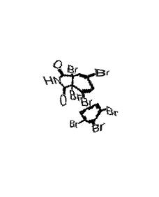 Brc1cccc(Br)c1Br.O=C1NC(=O)C2(Br)C(Br)=CC(Br)=CC12Br